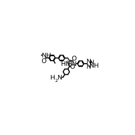 CNC(=O)c1ccc(-c2ccc(C[C@H](NC(=O)C3CCC(CN)CC3)C(=O)Nc3ccc(-c4nn[nH]n4)cc3)cc2)c(C)c1